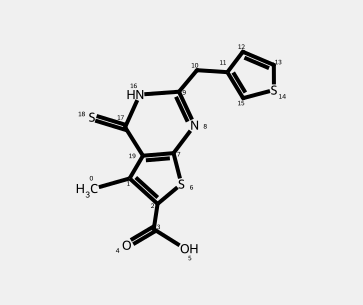 Cc1c(C(=O)O)sc2nc(Cc3ccsc3)[nH]c(=S)c12